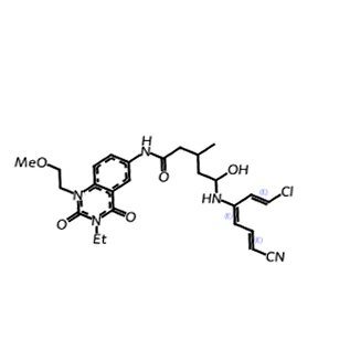 CCn1c(=O)c2cc(NC(=O)CC(C)CC(O)NC(/C=C/Cl)=C/C=C/C#N)ccc2n(CCOC)c1=O